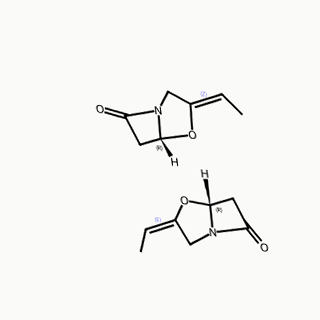 C/C=C1/CN2C(=O)C[C@H]2O1.C/C=C1\CN2C(=O)C[C@H]2O1